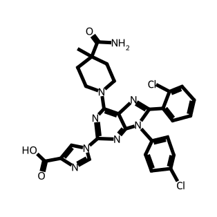 CC1(C(N)=O)CCN(c2nc(-n3cnc(C(=O)O)c3)nc3c2nc(-c2ccccc2Cl)n3-c2ccc(Cl)cc2)CC1